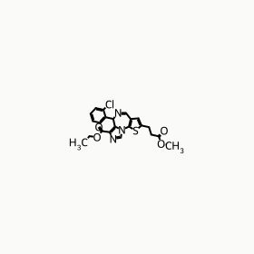 CCOC(=O)c1ncn2c1C(c1ccccc1Cl)N=Cc1cc(CCC(=O)OC)sc1-2